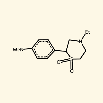 CCN1CCS(=O)(=O)C(c2ccc(NC)cc2)C1